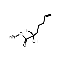 C=CCCCC(O)(O)C(=O)OCCC